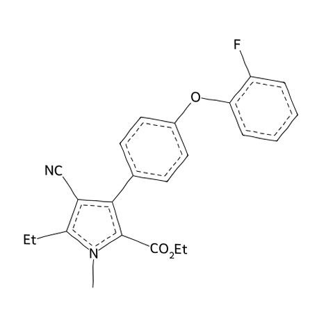 CCOC(=O)c1c(-c2ccc(Oc3ccccc3F)cc2)c(C#N)c(CC)n1C